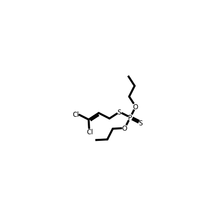 CCCOP(=S)(OCCC)SCC=C(Cl)Cl